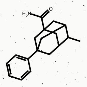 CC1C2CC3(C(N)=O)CC1CC(c1ccccc1)(C2)C3